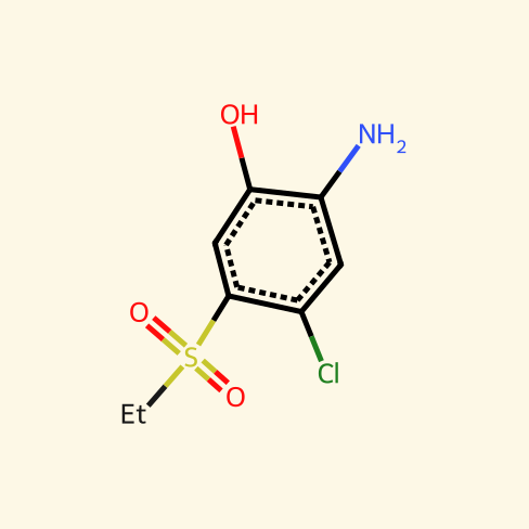 CCS(=O)(=O)c1cc(O)c(N)cc1Cl